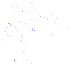 C[C@H]1[C@@H](N(C)C)CCN1c1nc(Cl)c2c3c(c(-c4ncc(F)c5sc(NC(=O)OC(C)(C)C)c(C#N)c45)c(F)c2n1)COC3